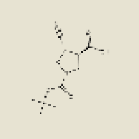 CC(C)(C)OC(=O)N1C[C@H](C(=O)O)[C@@H](C#N)C1